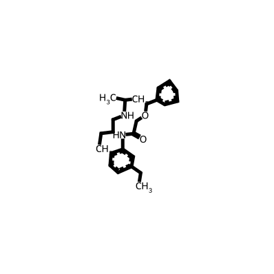 CCCCNC(C)C.CCc1cccc(NC(=O)COCc2ccccc2)c1